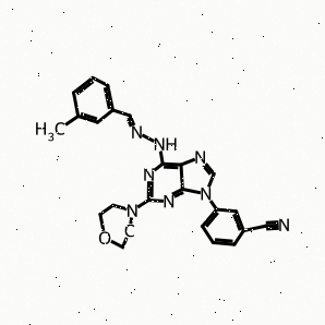 Cc1cccc(/C=N/Nc2nc(N3CCOCC3)nc3c2ncn3-c2cccc(C#N)c2)c1